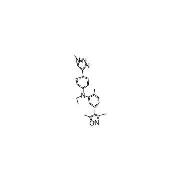 CCN(c1ccc(-c2cn(C)nn2)cc1)c1cc(-c2c(C)noc2C)ccc1C